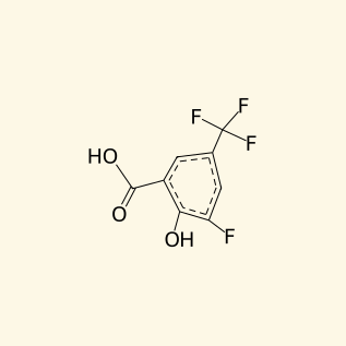 O=C(O)c1cc(C(F)(F)F)cc(F)c1O